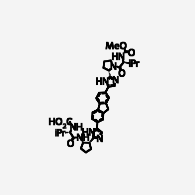 COC(=O)N[C@H](C(=O)N1CCC[C@H]1c1ncc(-c2ccc3c(c2)Cc2cc(-c4cnc([C@H]5CCC[C@@H]5NC(=O)[C@@H](NC(=O)O)C(C)C)[nH]4)ccc2-3)[nH]1)C(C)C